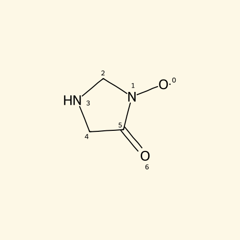 [O]N1CNCC1=O